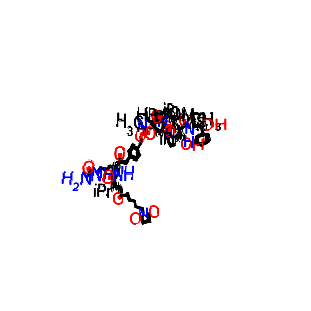 CC[C@H](C)[C@@H]([C@@H](CC(=O)N1CCC[C@H]1[C@H](CO)[C@@H](C)C(=O)N[C@H](C)[C@@H](O)c1ccccc1)OC)N(C)C(=O)[C@@H](CC(=O)C(C(C)C)N(C)C(=O)OCc1ccc(CC(=O)[C@@H](CCCNC(N)=O)NC(=O)[C@H](CC(=O)CCCCCN2C(=O)C=CC2=O)C(C)C)cc1)C(C)C